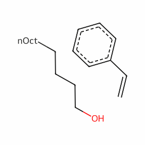 C=Cc1ccccc1.CCCCCCCCCCCCO